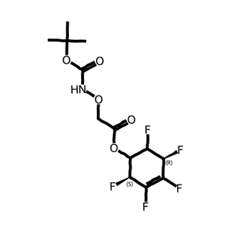 CC(C)(C)OC(=O)NOCC(=O)OC1C(F)[C@@H](F)C(F)=C(F)[C@H]1F